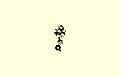 Cc1cccc(-n2cc(CNC(=O)c3c(C)oc4ncnc(N(C)C5(C)CC5)c34)cn2)c1